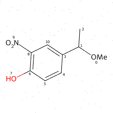 COC(C)c1ccc(O)c([N+](=O)[O-])c1